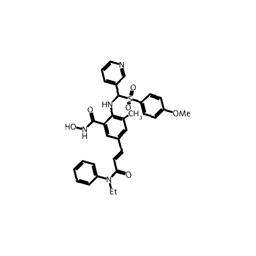 CCN(C(=O)C=Cc1cc(C)c(NC(c2cccnc2)S(=O)(=O)c2ccc(OC)cc2)c(C(=O)NO)c1)c1ccccc1